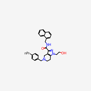 CCCc1ccc(CN2CCc3c(c(C(=O)NCc4cccc5ccccc45)nn3CCO)C2)cc1